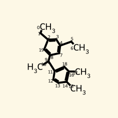 CCc1cc(CC)cc([C](C)c2ccc(C)c(C)c2)c1